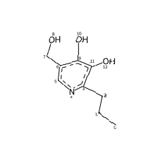 CCCc1ncc(CO)c(O)c1O